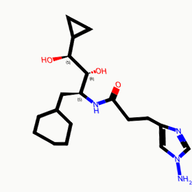 Nn1cnc(CCC(=O)N[C@@H](CC2CCCCC2)[C@@H](O)[C@@H](O)C2CC2)c1